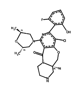 C[C@H]1CN(c2nc(-c3c(O)cccc3F)c(Cl)c3c2C(=O)N2CCNC[C@@H]2CO3)C[C@H](C)O1